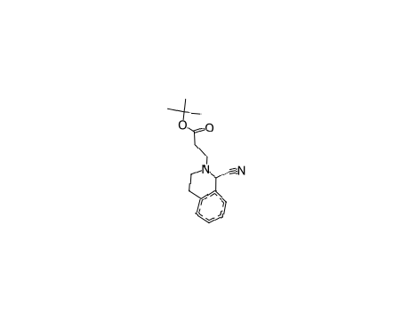 CC(C)(C)OC(=O)CCN1CCc2ccccc2C1C#N